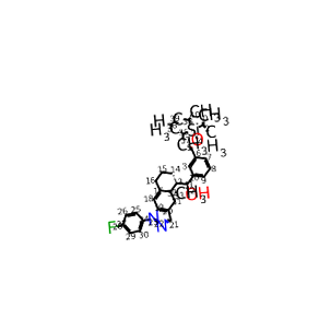 CC(C)[Si](OCc1cccc([C@H](O)[C@H]2CCCC3=Cc4c(cnn4-c4ccc(F)cc4)C[C@@]32C)c1)(C(C)C)C(C)C